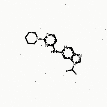 CC(C)n1cnc2cnc(Nc3ccnc(N4CCCCC4)n3)cc21